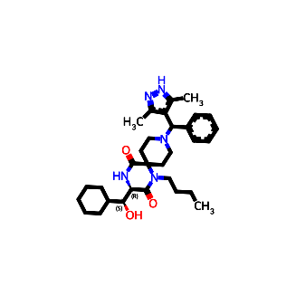 CCCCN1C(=O)[C@@H]([C@@H](O)C2CCCCC2)NC(=O)C12CCN(C(c1ccccc1)c1c(C)n[nH]c1C)CC2